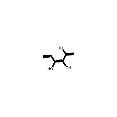 C=C/C(O)=C(/O)C(=C)O